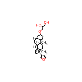 C[C@]12CC[C@H](OCC(O)CO)C[C@H]1CC[C@H]1[C@H]3CC[C@H](c4ccoc4)[C@@]3(C)CC[C@@H]12